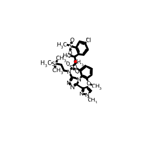 COc1cccc(OC)c1-n1c(-c2ccn(C)n2)nnc1N(CC[Si](C)(C)C)S(=O)(=O)CC(O)c1ccc(Cl)cc1S(C)(=O)=O